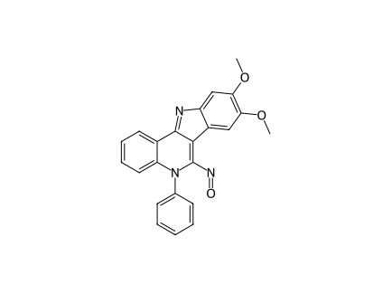 COc1cc2nc3c4ccccc4n(-c4ccccc4)c(N=O)c-3c2cc1OC